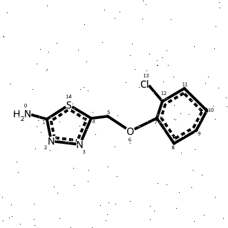 Nc1nnc(COc2ccccc2Cl)s1